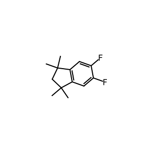 CC1(C)CC(C)(C)c2cc(F)c(F)cc21